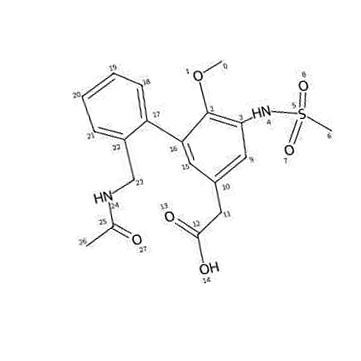 COc1c(NS(C)(=O)=O)cc(CC(=O)O)cc1-c1ccccc1CNC(C)=O